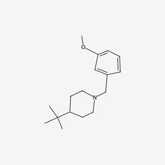 COc1cccc(CN2CCC(C(C)(C)C)CC2)c1